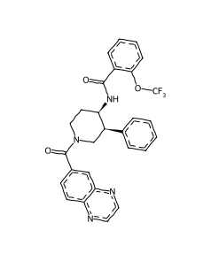 O=C(N[C@@H]1CCN(C(=O)c2ccc3nccnc3c2)C[C@@H]1c1ccccc1)c1ccccc1OC(F)(F)F